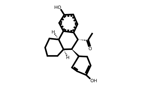 CC(=O)[C@H]1c2ccc(O)cc2[C@@H]2CCCC[C@@H]2[C@@H]1C1C=CC(O)=CC1